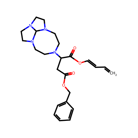 C=C/C=C/OC(=O)C(CC(=O)OCc1ccccc1)N1CCN2CCN3CCN(CC1)C23